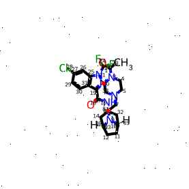 CC(=O)N1CCN(CCN2[C@@H]3CC[C@H]2C[C@H](NC(=O)c2nn(C(F)F)c4cc(Cl)ccc24)C3)CC1